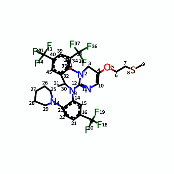 CCN1CC(OCCSC)=CN=C1N(c1cc(C(F)(F)F)ccc1N1CCCCC1)C(C)c1cc(C(F)(F)F)cc(C(F)(F)F)c1